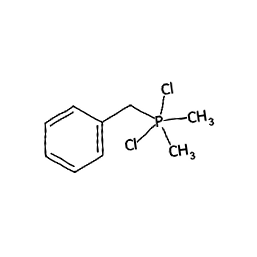 CP(C)(Cl)(Cl)Cc1ccccc1